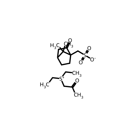 CC1(C)C2CCC1(CS(=O)(=O)[O-])C(=O)C2.CC[S+](CC)CC(C)=O